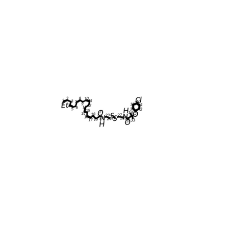 CC/C=C\C/C=C\C/C=C\C/C=C\C/C=C\C/C=C\CCC(=O)NCCSSCCNC(=O)C(C)(C)Oc1ccc(Cl)cc1